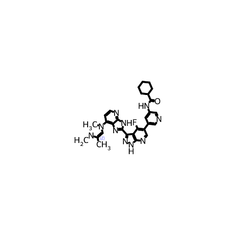 C=N/C(C)=C\N(C)c1ccnc2[nH]c(-c3n[nH]c4ncc(-c5cncc(NC(=O)C6CCCCC6)c5)c(F)c34)nc12